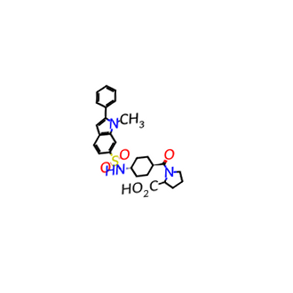 Cn1c(-c2ccccc2)cc2ccc(S(=O)(=O)N[C@H]3CC[C@H](C(=O)N4CCCC4C(=O)O)CC3)cc21